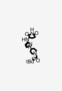 CC(C)(C)OC(=O)CN1CCC(n2ccc(NC3CCC(=O)NC3=O)n2)CC1